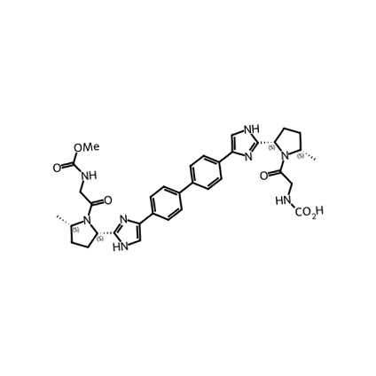 COC(=O)NCC(=O)N1[C@@H](C)CC[C@H]1c1nc(-c2ccc(-c3ccc(-c4c[nH]c([C@@H]5CC[C@H](C)N5C(=O)CNC(=O)O)n4)cc3)cc2)c[nH]1